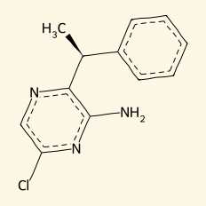 C[C@@H](c1ccccc1)c1ncc(Cl)nc1N